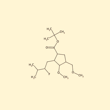 COCC1CC(C(=O)OC(C)(C)C)C(CC(F)C(C)C)C1OC